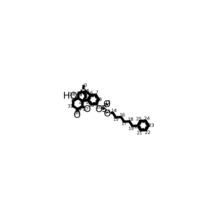 CN1CCC23c4c5ccc(OS(=O)OCCCCCCc6ccccc6)c4OC2C(=O)CCC3(O)C1C5